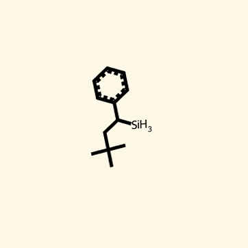 CC(C)(C)CC([SiH3])c1ccccc1